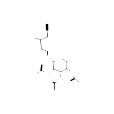 C#CCC(C)CCOC1OCC(OC(C)=O)C(OC(C)=O)[C@H]1OC(C)=O